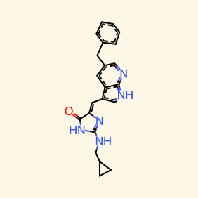 O=C1NC(NCC2CC2)=NC1=Cc1c[nH]c2ncc(Cc3ccccc3)cc12